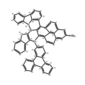 CC(C)(C)c1cc2ccc3c4c5c(c6ccc(c1)c2c36)N(c1ccc2c3ccccc3c3ccccc3c2c1)c1c(oc2ccccc12)B5n1c2ccccc2c2cccc-4c21